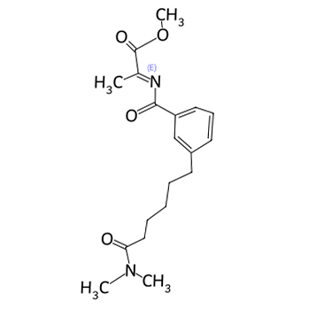 COC(=O)/C(C)=N/C(=O)c1cccc(CCCCCC(=O)N(C)C)c1